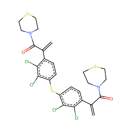 C=C(C(=O)N1CCSCC1)c1ccc(Sc2ccc(C(=C)C(=O)N3CCSCC3)c(Cl)c2Cl)c(Cl)c1Cl